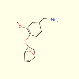 COc1cc(CN)ccc1OC1CC2C=CC1O2